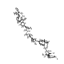 C[C@@H]1CN(c2ccc3ncc(-c4cnn([C@H]5C[C@H](CCCNc6ccc7c(c6)C(=O)N(C6CCC(=O)NC6=O)C7=O)C5)c4)nc3c2)CCN1C